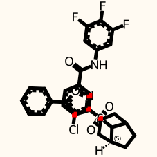 O=C(Nc1cc(F)c(F)c(F)c1)c1ccc(Cl)c(S(=O)(=O)C2C3CC[C@H]2C[C@H](c2cc(-c4ccccc4)on2)C3)c1